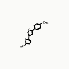 CCCCCCCCCCc1ccc(-c2cc(-c3ccc(CCC)s3)no2)cc1